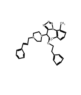 Cc1cccc(C)c1-n1nnnc1C(COCCc1ccccc1)N1CCN(C/C=C/c2ccccc2)CC1